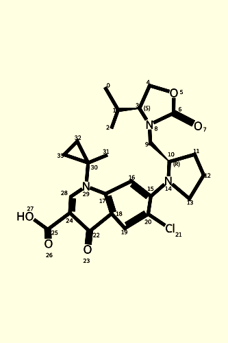 CC(C)[C@H]1COC(=O)N1C[C@H]1CCCN1c1cc2c(cc1Cl)c(=O)c(C(=O)O)cn2C1(C)CC1